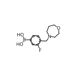 OB(O)c1ccc(CN2CCCOCC2)c(F)c1